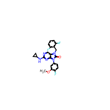 COc1cc(-n2c(=O)n(Cc3c(F)cccc3F)c3cnc(NC4CC4)nc32)ccc1F